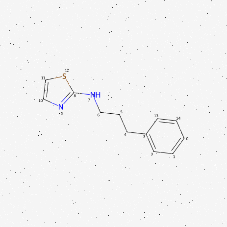 c1ccc(CCCNc2nccs2)cc1